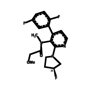 COCC(=O)N(C)c1c(-c2cc(F)ccc2F)ccnc1N1CC[C@H](F)C1